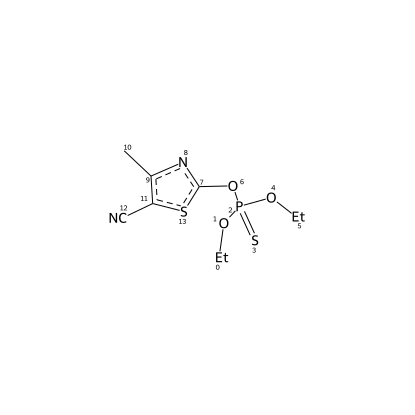 CCOP(=S)(OCC)Oc1nc(C)c(C#N)s1